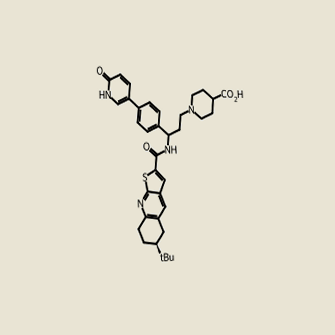 CC(C)(C)[C@H]1CCc2nc3sc(C(=O)NC(CCN4CCC(C(=O)O)CC4)c4ccc(-c5ccc(=O)[nH]c5)cc4)cc3cc2C1